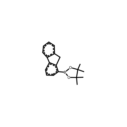 CC1(C)OB(c2cccc3c2Cc2ccccc2-3)OC1(C)C